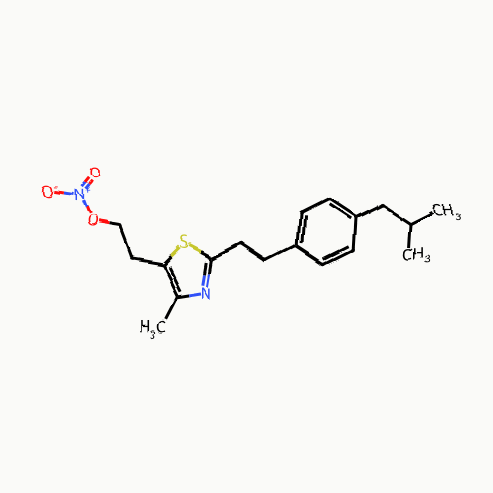 Cc1nc(CCc2ccc(CC(C)C)cc2)sc1CCO[N+](=O)[O-]